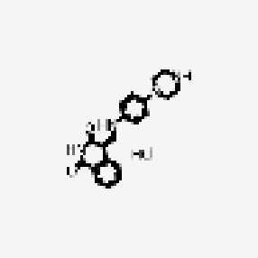 Cl.O=C1NC(=O)c2ccccc2C1=CNc1ccc(N2CCNCC2)cc1